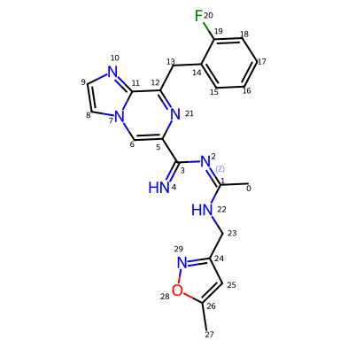 C/C(=N/C(=N)c1cn2ccnc2c(Cc2ccccc2F)n1)NCc1cc(C)on1